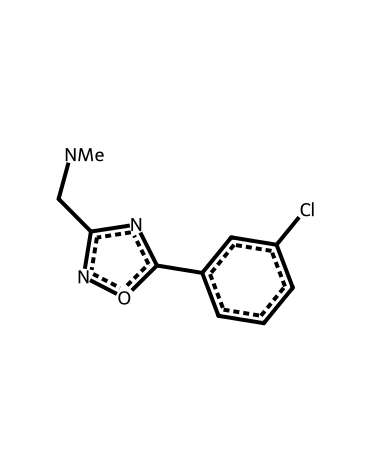 CNCc1noc(-c2cccc(Cl)c2)n1